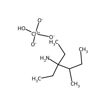 CCC(C)C(N)(CC)CC.[O-][Cl+3]([O-])([O-])O